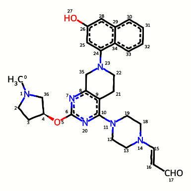 CN1CC[C@H](Oc2nc3c(c(N4CCN(C=CC=O)CC4)n2)CCN(c2cc(O)cc4ccccc24)C3)C1